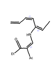 C=C/C=C\C(=C/C)N/C=C(/C(C)=O)C(=O)CC